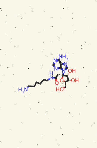 NCCCCCCNC(=O)C[C@@]1(n2cnc3c(N)ncnc32)O[C@H](CO)[C@@H](O)[C@H]1O